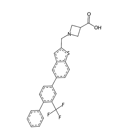 O=C(O)C1CN(Cc2cc3cc(-c4ccc(-c5ccccc5)c(C(F)(F)F)c4)ccc3s2)C1